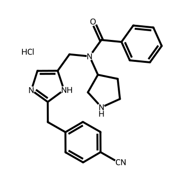 Cl.N#Cc1ccc(Cc2ncc(CN(C(=O)c3ccccc3)C3CCNC3)[nH]2)cc1